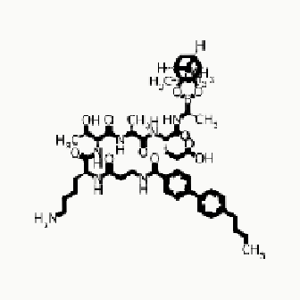 CCCCc1ccc(-c2ccc(C(=O)NCCC(=O)N[C@@H](CCCCN)C(=O)N[C@H](C(=O)N[C@@H](C)C(=O)N[C@@H](CCC(=O)O)C(=O)N[C@@H](C)B3OC4C[C@@H]5C[C@@H](C5(C)C)[C@]4(C)O3)[C@@H](C)O)cc2)cc1